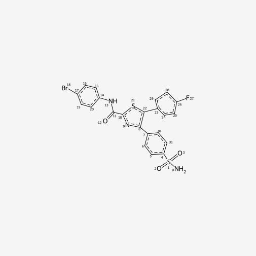 NS(=O)(=O)c1ccc(-c2nc(C(=O)Nc3ccc(Br)cc3)sc2-c2ccc(F)cc2)cc1